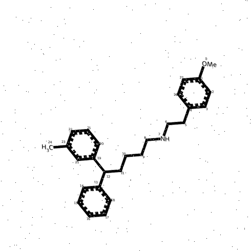 COc1ccc(CCNCCCCC(c2ccccc2)c2cccc(C)c2)cc1